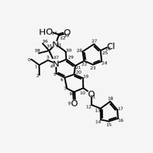 CC(C)CN1C=C2CC(=O)C(OCc3ccccc3)C=C2C(c2ccc(Cl)cc2)=C1CN(C(=O)O)C(C)(C)C